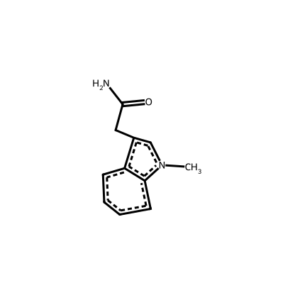 Cn1cc(CC(N)=O)c2ccccc21